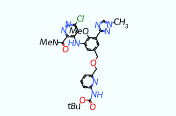 CNC(=O)c1nnc(Cl)cc1Nc1cc(COCc2cccc(NC(=O)OC(C)(C)C)n2)cc(-c2ncn(C)n2)c1OC